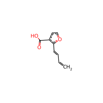 C=C/C=C/c1occc1C(=O)O